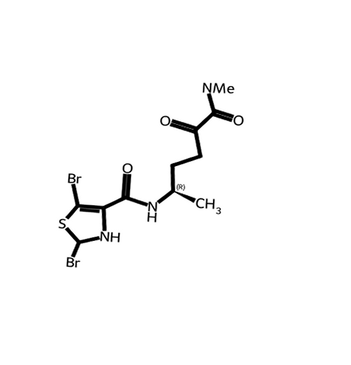 CNC(=O)C(=O)CC[C@@H](C)NC(=O)C1=C(Br)SC(Br)N1